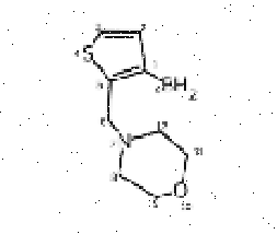 Bc1ccsc1CN1CCOCC1